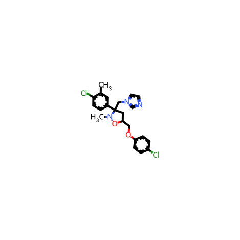 Cc1cc(C2(Cn3ccnc3)CC(COc3ccc(Cl)cc3)ON2C)ccc1Cl